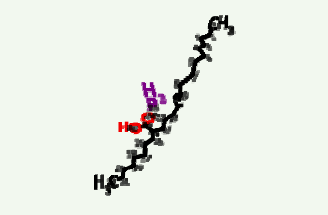 CCCCCCCCCCCCCCC(CCCCCCCC)C(=O)O.P